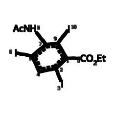 CCOC(=O)c1c(I)cc(I)c(NC(C)=O)c1I